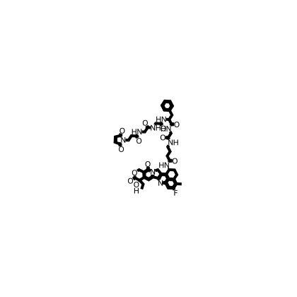 CC[C@@]1(O)C(=O)OCc2c1cc1n(c2=O)Cc2c-1nc1cc(F)c(C)c3c1c2[C@@H](NC(=O)CCCNC(=O)CNC(=O)C(Cc1ccccc1)NC(=O)CNC(=O)CNC(=O)CCN1C(=O)C=CC1=O)CC3